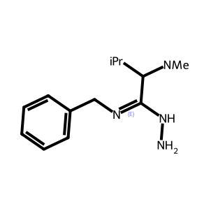 CNC(/C(=N\Cc1ccccc1)NN)C(C)C